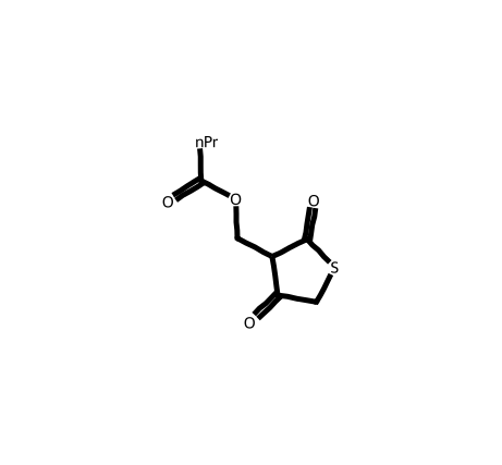 CCCC(=O)OCC1C(=O)CSC1=O